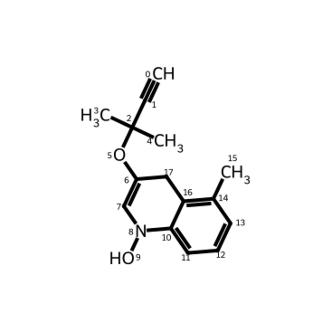 C#CC(C)(C)OC1=CN(O)c2cccc(C)c2C1